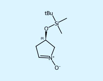 CC(C)(C)[Si](C)(C)O[C@@H]1CC=[N+]([O-])C1